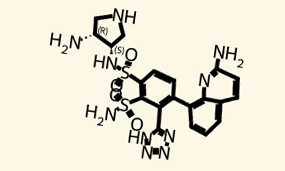 Nc1ccc2cccc(-c3ccc(S(=O)(=O)N[C@H]4CNC[C@H]4N)c(S(N)(=O)=O)c3-c3nnn[nH]3)c2n1